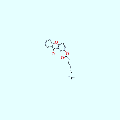 CC(C)(C)CCCCCC(=O)Oc1ccc2oc3ccccc3c(=O)c2c1